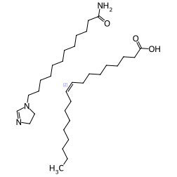 CCCCCCCC/C=C\CCCCCCCC(=O)O.NC(=O)CCCCCCCCCCCN1C=NCC1